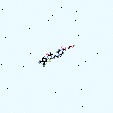 COCCOCC(=O)N1CCN(CCCN2C(=S)N(c3ccc(C#N)c(C(F)(F)F)c3)C(=O)C2(C)C)CC1